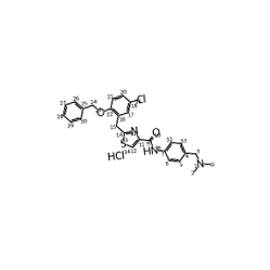 CN(C)Cc1ccc(NC(=O)c2csc(Cc3cc(Cl)ccc3OCc3ccccc3)n2)cc1.Cl